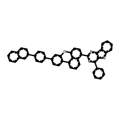 c1ccc(-c2nc(-c3ccc4c5c(cccc35)-c3ccc(-c5ccc(-c6ccc7ccccc7c6)cc5)cc3O4)nc3c2sc2ccccc23)cc1